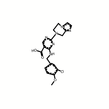 COc1ccc(CNc2nc(N3CCn4ccnc4C3)ncc2C(=O)O)cc1Cl